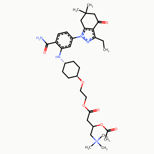 CCc1nn(-c2ccc(C(N)=O)c(N[C@H]3CC[C@H](OCCOC(=O)CC(C[N+](C)(C)C)OC(C)=O)CC3)c2)c2c1C(=O)CC(C)(C)C2